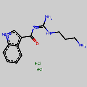 Cl.Cl.NCCCNC(N)=NC(=O)c1c[nH]c2ccccc12